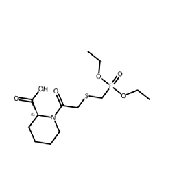 CCOP(=O)(CSCC(=O)N1CCCC[C@H]1C(=O)O)OCC